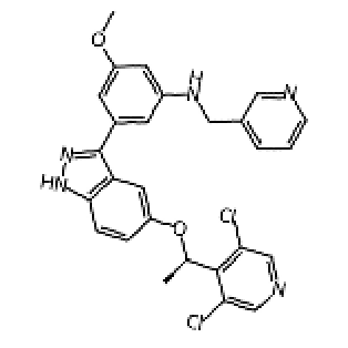 COc1cc(NCc2cccnc2)cc(-c2n[nH]c3ccc(O[C@H](C)c4c(Cl)cncc4Cl)cc23)c1